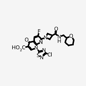 O=C(O)c1cn(-c2nc(Cl)ns2)c2nc(N3CC(C(=O)NCC4CCCCO4)C3)c(F)cc2c1=O